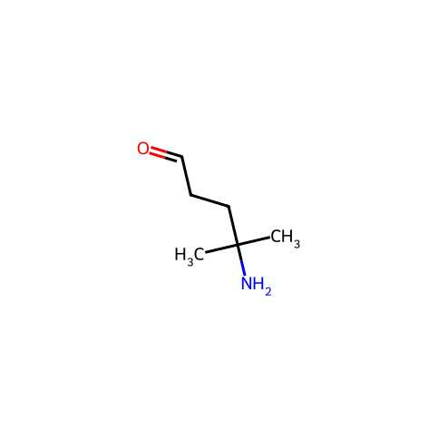 CC(C)(N)CCC=O